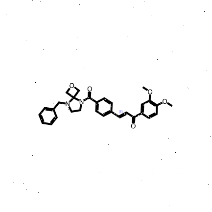 COc1ccc(C(=O)/C=C/c2ccc(C(=O)N3CCN(Cc4ccccc4)C34COC4)cc2)cc1OC